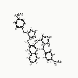 COc1ccc(Cn2nnnc2Sc2nc3ccccc3nc2Sc2nnnn2Cc2ccc(OC)cc2)cc1